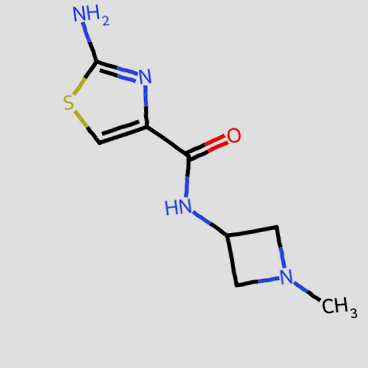 CN1CC(NC(=O)c2csc(N)n2)C1